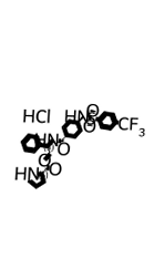 Cl.O=C(OC[C@@H](NC(=O)[C@H]1CC[C@H](NS(=O)(=O)c2ccc(C(F)(F)F)cc2)CC1)c1ccccc1)[C@@H]1CCCN1